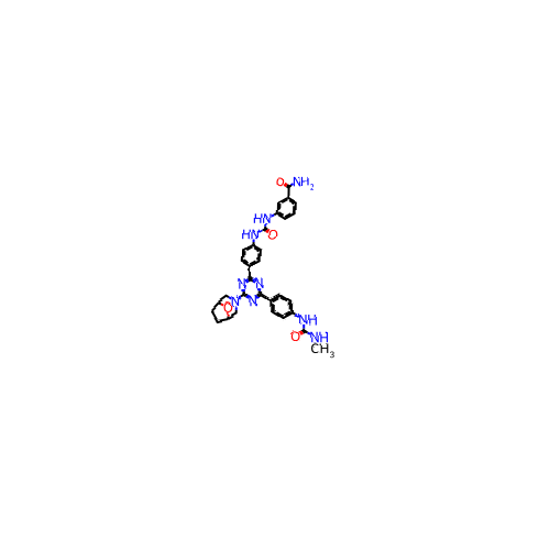 CNC(=O)Nc1ccc(-c2nc(-c3ccc(NC(=O)Nc4cccc(C(N)=O)c4)cc3)nc(N3CC4CCC(C3)O4)n2)cc1